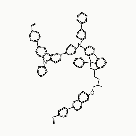 C=Cc1ccc(-c2ccc3cc(OCC(C)CCC(C)CC4(c5ccccc5)c5ccccc5-c5ccc(N(c6ccc(-c7ccccc7)cc6)c6ccc(-c7ccc8c(c7)c7cc(-c9ccc(C=C)cc9)ccc7n8-c7ccccc7)cc6)cc54)ccc3c2)cc1